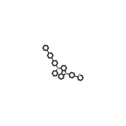 c1ccc(-c2ccc(-c3ccc(N(c4ccccc4)c4cccc5c4c4ccccc4n5-c4ccc(-c5ccccn5)cc4)cc3)cc2)cc1